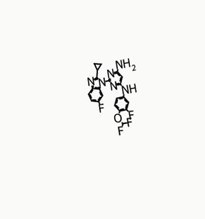 Nc1cc(Nc2ccc(OC(F)F)c(F)c2)nc(-n2c(C3CC3)nc3ccc(F)cc32)n1